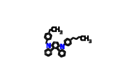 C=Cc1ccc(Cn2c3ccccc3c3c4c5ccccc5n(-c5ccc(CCCC)cc5)c4ccc32)cc1